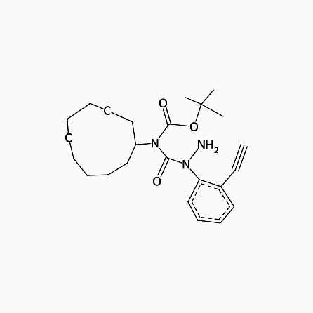 C#Cc1ccccc1N(N)C(=O)N(C(=O)OC(C)(C)C)C1CCCCCCCCC1